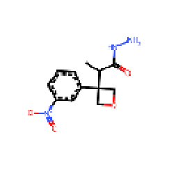 CC(C(=O)NN)C1(c2cccc([N+](=O)[O-])c2)COC1